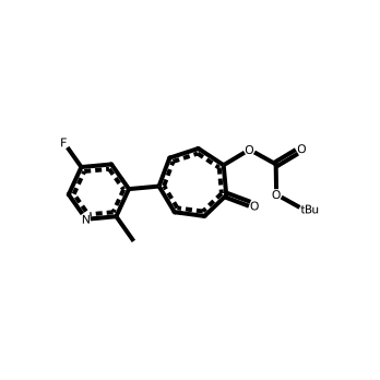 Cc1ncc(F)cc1-c1ccc(OC(=O)OC(C)(C)C)c(=O)cc1